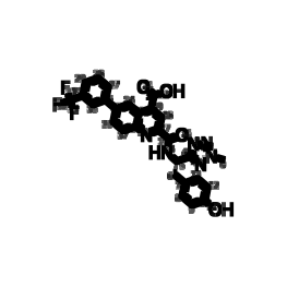 Cn1nnc([C@H](Cc2ccc(O)cc2)NC(=O)c2cc(C(=O)O)c3cc(-c4cccc(C(F)(F)F)c4)ccc3n2)n1